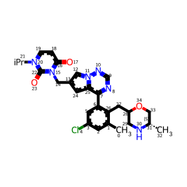 Cc1cc(Cl)cc(-c2ncnn3cc(Cn4c(=O)ccn(C(C)C)c4=O)cc23)c1CC1CN[C@@H](C)CO1